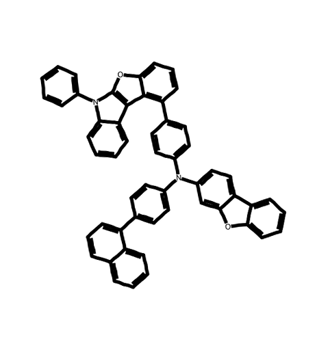 c1ccc(-n2c3ccccc3c3c4c(-c5ccc(N(c6ccc(-c7cccc8ccccc78)cc6)c6ccc7c(c6)oc6ccccc67)cc5)cccc4oc32)cc1